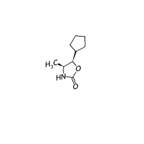 C[C@@H]1NC(=O)O[C@@H]1C1CCCC1